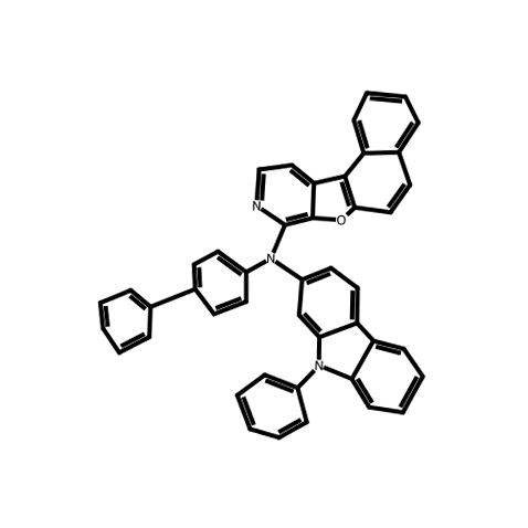 c1ccc(-c2ccc(N(c3ccc4c5ccccc5n(-c5ccccc5)c4c3)c3nccc4c3oc3ccc5ccccc5c34)cc2)cc1